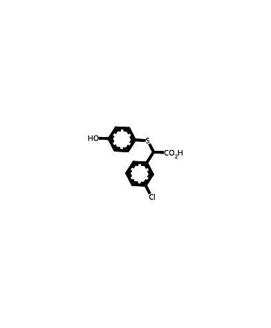 O=C(O)C(Sc1ccc(O)cc1)c1cccc(Cl)c1